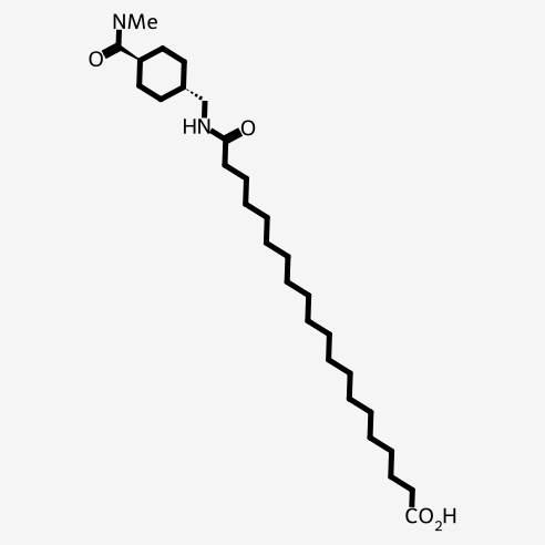 CNC(=O)[C@H]1CC[C@H](CNC(=O)CCCCCCCCCCCCCCCCCCC(=O)O)CC1